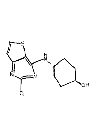 O[C@H]1CC[C@H](Nc2nc(Cl)nc3ccsc23)CC1